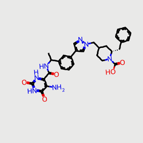 CC(NC(=O)c1[nH]c(=O)[nH]c(=O)c1N)c1cccc(-c2cnn(CC3CCN(C(=O)O)[C@@H](Cc4ccccc4)C3)c2)c1